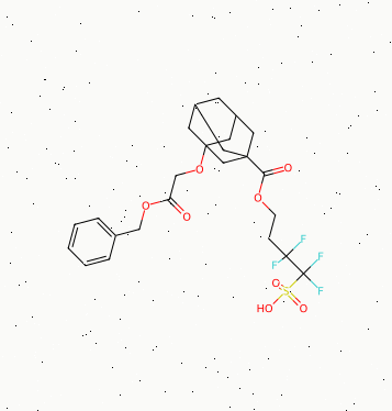 O=C(COC12CC3CC(C1)CC(C(=O)OCCC(F)(F)C(F)(F)S(=O)(=O)O)(C3)C2)OCc1ccccc1